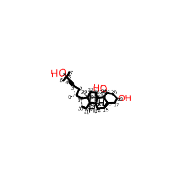 C[C@H](CC#CC(C)(C)O)[C@H]1CC[C@H]2[C@@H]3CC=C4C[C@@H](O)C[C@H](O)[C@]4(C)[C@H]3CC[C@]12C